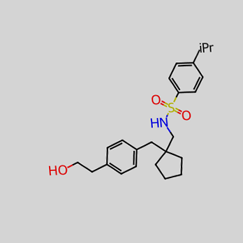 CC(C)c1ccc(S(=O)(=O)NCC2(Cc3ccc(CCO)cc3)CCCC2)cc1